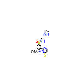 CO/C(C)=C(/C=C(\C)[S+]([O-])NCCCNC(C)C)c1nccc(=S)[nH]1